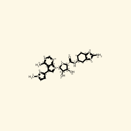 Cn1ccc(-c2cn([C@@H]3O[C@H](C(=O)N[C@H]4CCc5nc(N)sc5C4)[C@@H](O)[C@H]3O)c3ncnc(N)c23)n1